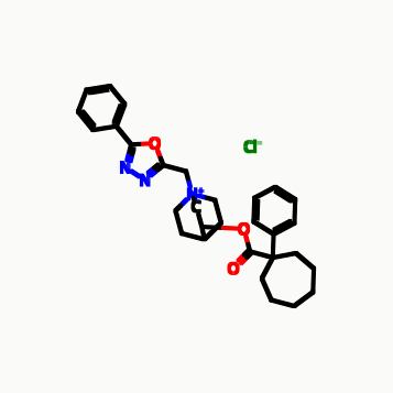 O=C(OC1C[N+]2(Cc3nnc(-c4ccccc4)o3)CCC1CC2)C1(c2ccccc2)CCCCCC1.[Cl-]